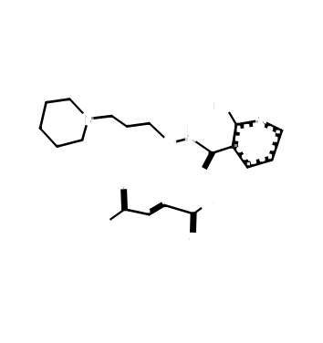 Cc1ncccc1C(=O)NOCCCN1CCCCC1.O=C(O)C=CC(=O)O